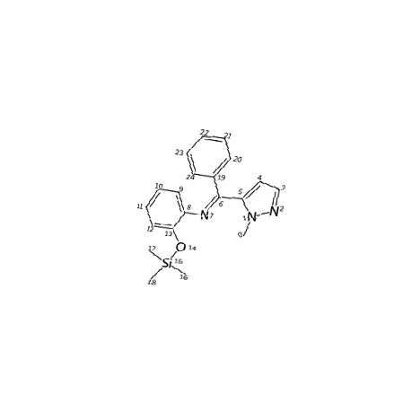 Cn1nccc1C(=Nc1ccccc1O[Si](C)(C)C)c1ccccc1